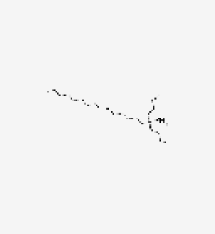 CCCCCCCCCCCCCCCC(P)(CCCC)CCCC